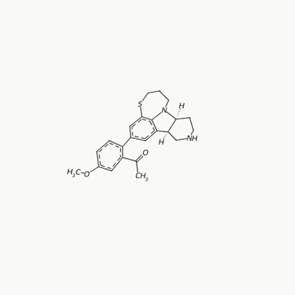 COc1ccc(-c2cc3c4c(c2)[C@@H]2CNCC[C@@H]2N4CCCS3)c(C(C)=O)c1